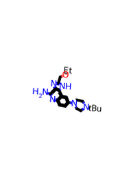 CCOCc1nc2c(N)nc3ccc(N4CCN(C(C)(C)C)CC4)cc3c2[nH]1